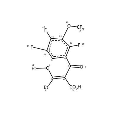 CCOC(CC)=C(C(=O)O)C(=O)c1cc(F)c(F)c(OC(F)(F)F)c1F